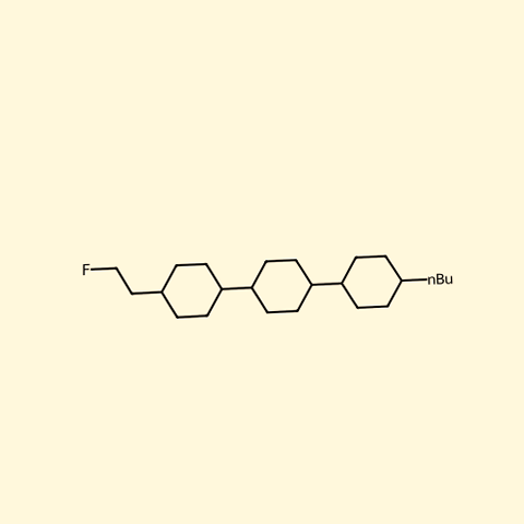 CCCCC1CCC(C2CCC(C3CCC(CCF)CC3)CC2)CC1